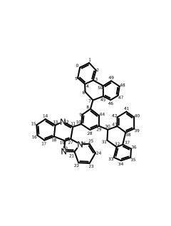 c1ccc2c(c1)CC(c1cc(-c3nc4ccccc4c4nc5ccccn5c34)cc(C3Cc4ccccc4-c4ccccc43)c1)c1ccccc1-2